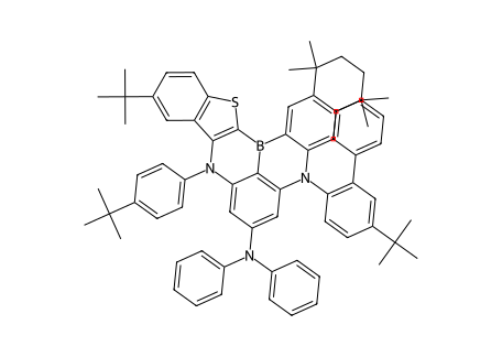 CC(C)(C)c1ccc(N2c3cc(N(c4ccccc4)c4ccccc4)cc4c3B(c3cc5c(cc3N4c3ccc(C(C)(C)C)cc3-c3ccccc3)C(C)(C)CCC5(C)C)c3sc4ccc(C(C)(C)C)cc4c32)cc1